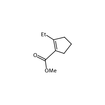 CCC1=C(C(=O)OC)CCC1